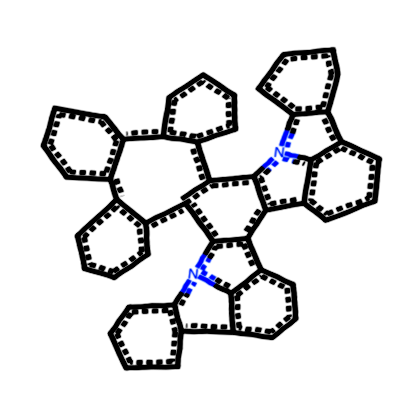 c1ccc2c(c1)c1ccccc1c1c(c3ccccc23)c2c(c3cccc4c5ccccc5n2c43)c2c3cccc4c5ccccc5n(c43)c12